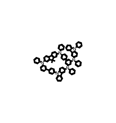 CC1(C)c2cc(N(c3ccccc3)c3ccccc3)ccc2-c2ccc(N(c3ccccc3)c3cccc(-c4ccc(-n5c6ccccc6c6cc(N(c7ccccc7)c7cccc(N(c8ccccc8)c8ccc9c(c8)c8ccccc8n9-c8ccccc8)c7)ccc65)cc4)c3)cc21